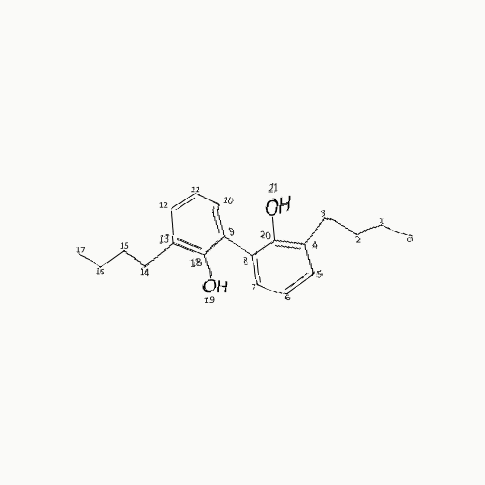 CCCCc1cccc(-c2cccc(CCCC)c2O)c1O